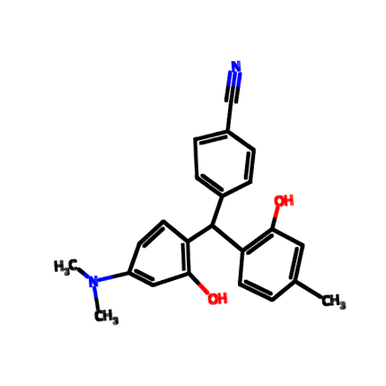 Cc1ccc(C(c2ccc(C#N)cc2)c2ccc(N(C)C)cc2O)c(O)c1